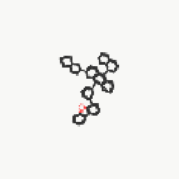 c1cc(-c2c3ccccc3c(-c3cccc4ccccc34)c3ccc(-c4ccc5ccccc5c4)cc23)cc(-c2cccc3c2oc2ccccc23)c1